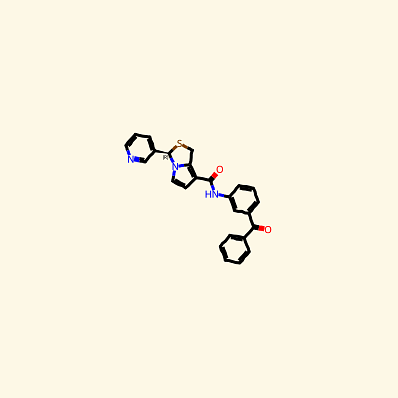 O=C(c1ccccc1)c1cccc(NC(=O)c2ccn3c2CS[C@@H]3c2cccnc2)c1